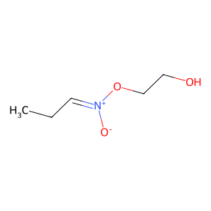 CC/C=[N+](\[O-])OCCO